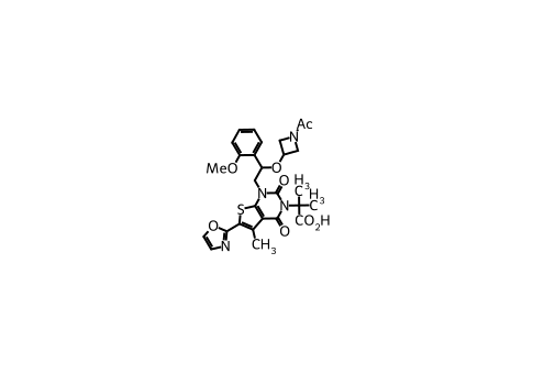 COc1ccccc1C(Cn1c(=O)n(C(C)(C)C(=O)O)c(=O)c2c(C)c(-c3ncco3)sc21)OC1CN(C(C)=O)C1